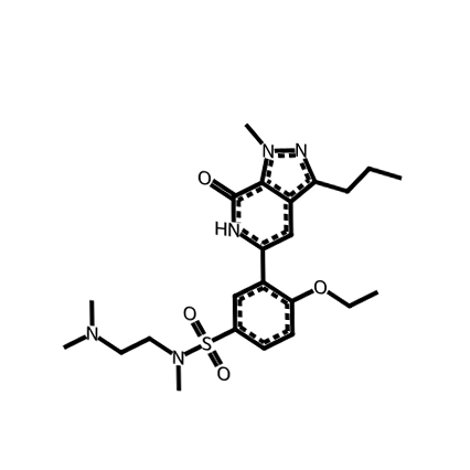 CCCc1nn(C)c2c(=O)[nH]c(-c3cc(S(=O)(=O)N(C)CCN(C)C)ccc3OCC)cc12